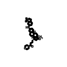 C[C@]12CC[C@@H]3c4ccc(Nc5ccc6c(c5)S(=O)(=O)C=C6)cc4CC[C@H]3[C@@H]1[C@@H](CCCC(=O)N1CCOCC1)CC2=O